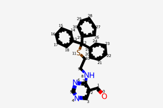 O=Cc1cncnc1NCCSC(c1ccccc1)(c1ccccc1)c1ccccc1